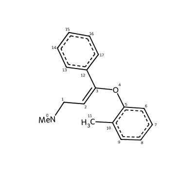 CNCC=C(Oc1ccccc1C)c1ccccc1